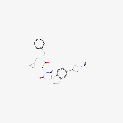 CC(=O)N1CC(c2ccc3c(c2)CC[C@@]32OC(=O)N(CC(=O)N(Cc3ccccc3)[C@@H](C)C3CC3)C2=O)C1